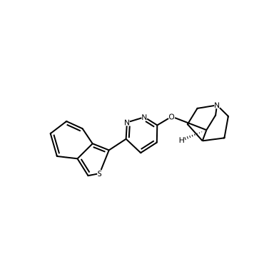 c1ccc2c(-c3ccc(O[C@H]4CN5CCC4CC5)nn3)scc2c1